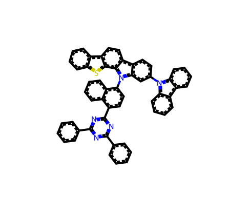 c1ccc(-c2nc(-c3ccccc3)nc(-c3ccc(-n4c5cc(-n6c7ccccc7c7ccccc76)ccc5c5ccc6c7ccccc7sc6c54)c4ccccc34)n2)cc1